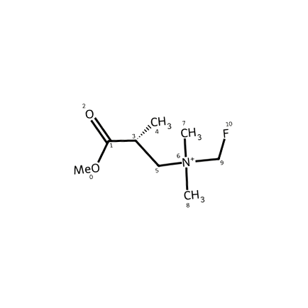 COC(=O)[C@H](C)C[N+](C)(C)CF